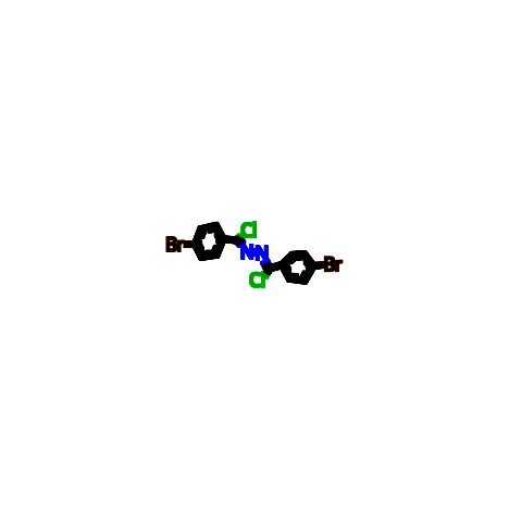 ClC(=N/N=C(\Cl)c1ccc(Br)cc1)c1ccc(Br)cc1